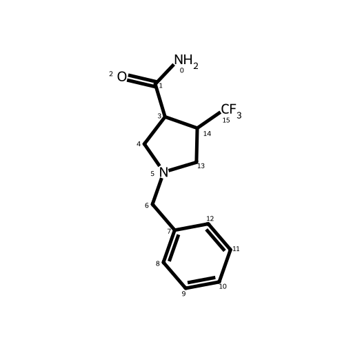 NC(=O)C1CN(Cc2ccccc2)CC1C(F)(F)F